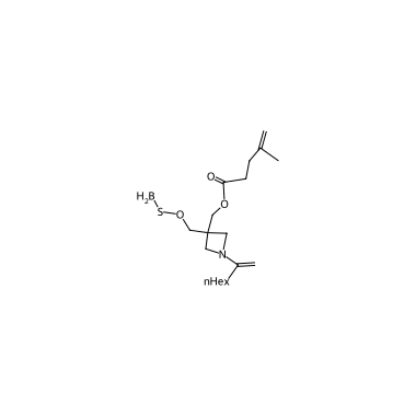 BSOCC1(COC(=O)CCC(=C)C)CN(C(=C)CCCCCC)C1